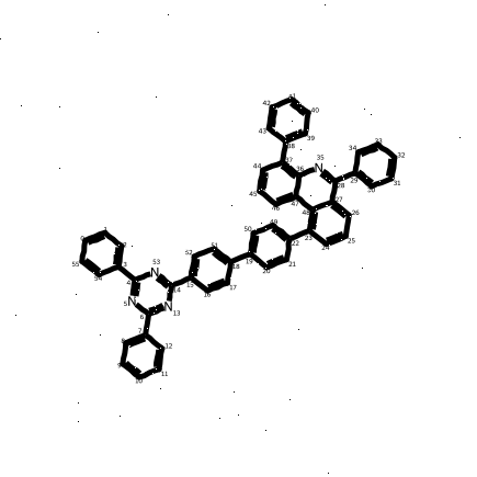 c1ccc(-c2nc(-c3ccccc3)nc(-c3ccc(-c4ccc(-c5cccc6c(-c7ccccc7)nc7c(-c8ccccc8)cccc7c56)cc4)cc3)n2)cc1